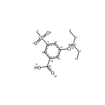 CCNCC.CS(=O)(=O)c1cc(Cl)cc(C(=O)O)c1